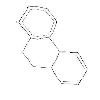 [c]1cccc2c1CCC1C=CC=CC21